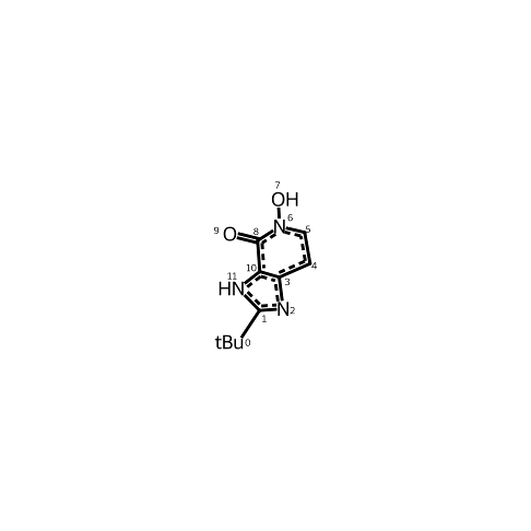 CC(C)(C)c1nc2ccn(O)c(=O)c2[nH]1